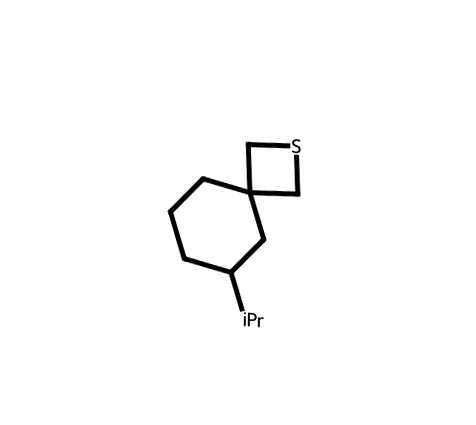 CC(C)C1CCCC2(CSC2)C1